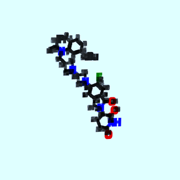 Cc1ccc(C(C)(C)C)cc1N(CC1CN(C2CN(c3cc4c(cc3F)C(=O)N(C3CCC(=O)NC3=O)C4)C2)C1)[C@@H](C)C(C)C